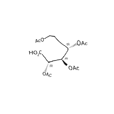 CC(=O)OC[C@H](OC(C)=O)[C@@H](OC(C)=O)[C@H](OC(C)=O)C(=O)O